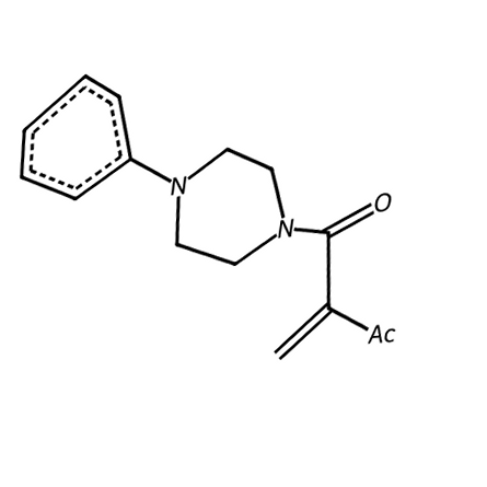 C=C(C(C)=O)C(=O)N1CCN(c2ccccc2)CC1